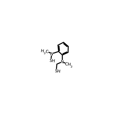 CN(S)c1ccccc1N(C)CS